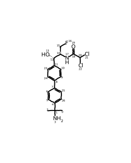 CC(C)(N)c1ccc(-c2ccc([C@H](O)[C@@H](CF)NC(=O)C(Cl)Cl)cc2)cc1